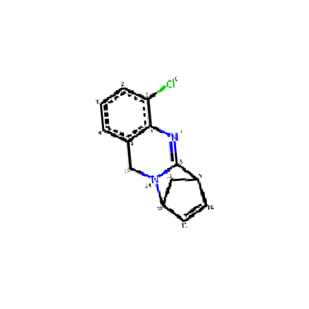 Clc1cccc2c1N=C1C3C=CC(C3)N1C2